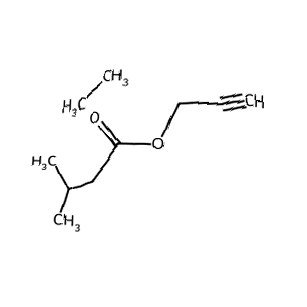 C#CCOC(=O)CC(C)C.CC